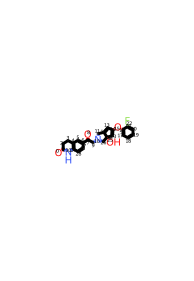 O=C1CCc2cc(C(=O)CN3CC4=CC(Oc5ccccc5F)=C[C@@]4(O)C3)ccc2N1